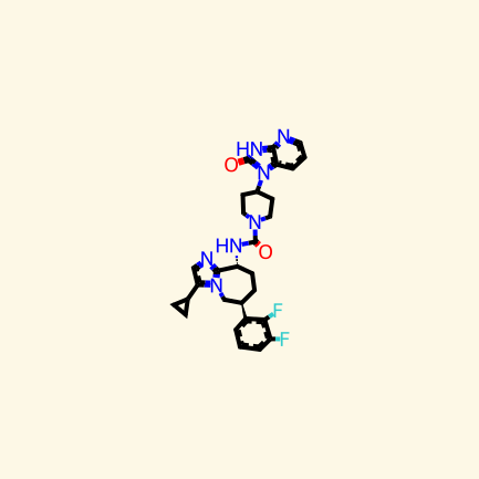 O=C(N[C@@H]1CC[C@@H](c2cccc(F)c2F)Cn2c(C3CC3)cnc21)N1CCC(n2c(=O)[nH]c3ncccc32)CC1